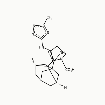 NC(=O)C12CC3C[C@H](C1)C(C1C(Nc4nnc(C(F)(F)F)s4)CCN1C(=O)O)[C@@H](C3)C2